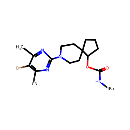 Cc1nc(N2CCC3(CCCC3OC(=O)NC(C)(C)C)CC2)nc(C#N)c1Br